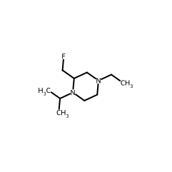 CCN1CCN(C(C)C)C(CF)C1